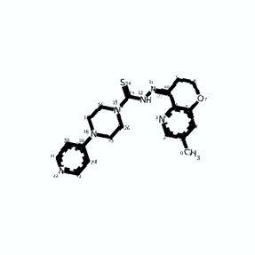 Cc1cnc2c(c1)OCC/C2=N/NC(=S)N1CCN(c2ccncc2)CC1